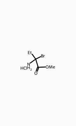 CCC(N)(Br)C(=O)OC.Cl